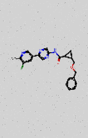 N#Cc1ncc(-c2cnc(NC(=O)C3CC3COCc3ccccc3)cn2)cc1F